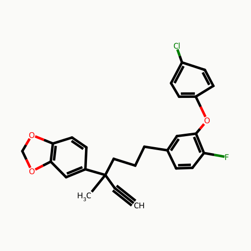 C#CC(C)(CCCc1ccc(F)c(Oc2ccc(Cl)cc2)c1)c1ccc2c(c1)OCO2